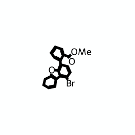 COC(=O)c1ccccc1-c1ccc(Br)c2c3c(oc12)CCC=C3